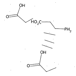 CC.CC.CC.CCC(=O)O.CCC(=O)O.O=C(O)CCP